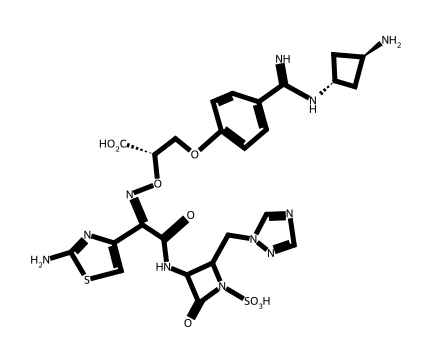 N=C(N[C@H]1C[C@H](N)C1)c1ccc(OC[C@H](O/N=C(\C(=O)NC2C(=O)N(S(=O)(=O)O)C2Cn2cncn2)c2csc(N)n2)C(=O)O)cc1